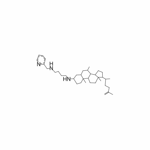 C=C(C)CCC(C)C1CCC2C3C(C)CC4CC(NCCCCNCc5ccccn5)CCC4(C)C3CCC12C